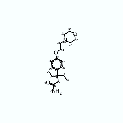 CCC(CC)(CC(N)=O)c1ccc(OCCN2CCOCC2)cc1